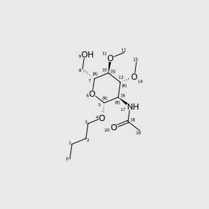 CCCCO[C@@H]1O[C@H](CO)[C@@H](OC)[C@H](OC)[C@H]1NC(C)=O